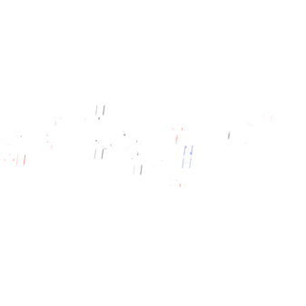 COc1ccc(CCNC(=O)[C@@]23CC[C@]4(C)[C@H](CC[C@@H]5[C@@]6(C)CC[C@H](OC(=O)CC(C)(C)C(=O)O)C(C)(C)[C@@H]6CC[C@]54C)C2=C(C(C)C)C(=O)C3)cc1